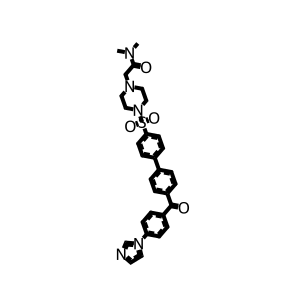 CN(C)C(=O)CN1CCN(S(=O)(=O)c2ccc(-c3ccc(C(=O)c4ccc(-n5ccnc5)cc4)cc3)cc2)CC1